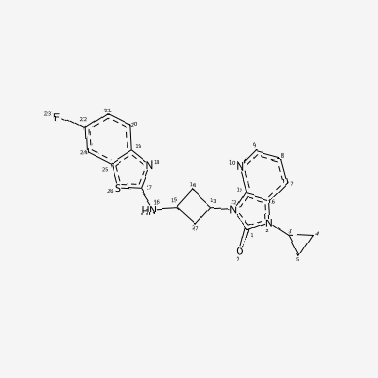 O=c1n(C2CC2)c2cccnc2n1C1CC(Nc2nc3ccc(F)cc3s2)C1